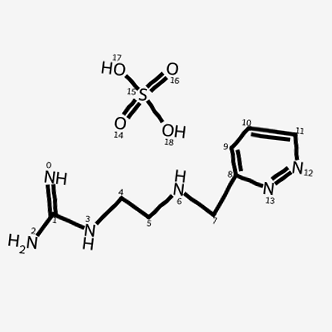 N=C(N)NCCNCc1cccnn1.O=S(=O)(O)O